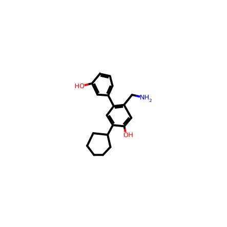 NCc1cc(O)c(C2CCCCC2)cc1-c1cc[c]c(O)c1